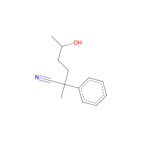 CC(O)CCC(C)(C#N)c1ccccc1